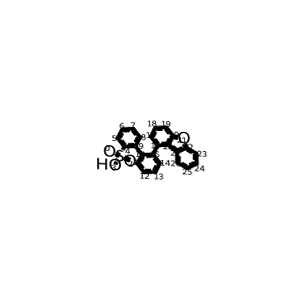 O=S(=O)(O)c1ccccc1-c1ccccc1-c1cccc2oc3ccccc3c12